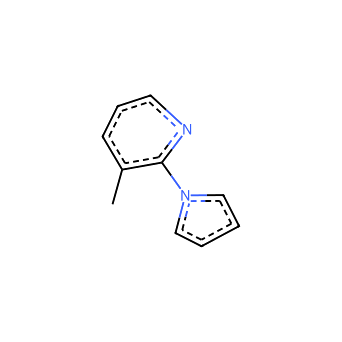 Cc1cccnc1-n1cccc1